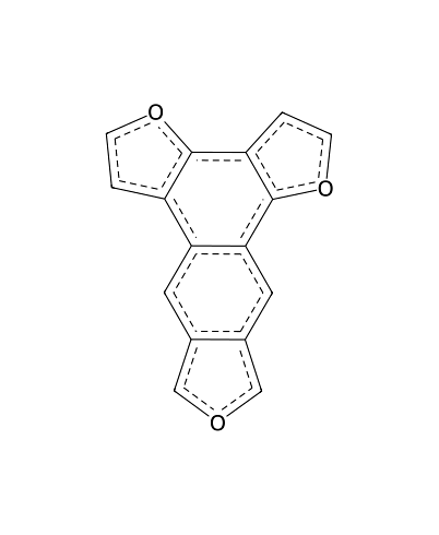 c1cc2c3cc4cocc4cc3c3occc3c2o1